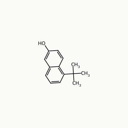 CC(C)(C)c1cccc2cc(O)ccc12